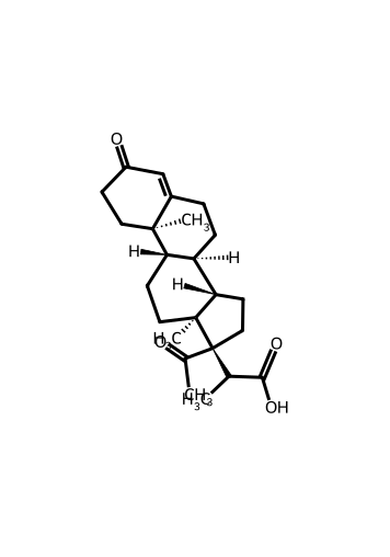 CC(=O)[C@@]1(C(C)C(=O)O)CC[C@H]2[C@@H]3CCC4=CC(=O)CC[C@]4(C)[C@H]3CC[C@@]21C